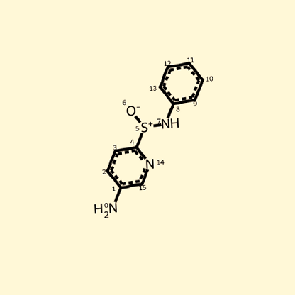 Nc1ccc([S+]([O-])Nc2ccccc2)nc1